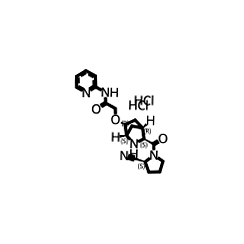 Cl.Cl.N#C[C@@H]1CCCN1C(=O)[C@H]1N[C@H]2C[C@@H]1C[C@H]2OCC(=O)Nc1ccccn1